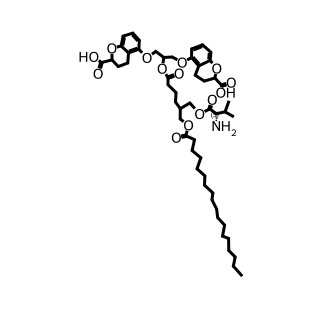 CCCCCCCCCCCCCCCCCC(=O)OCC(CCCC(=O)OC(COc1cccc2c1CCC(C(=O)O)O2)COc1cccc2c1CCC(C(=O)O)O2)COC(=O)[C@@H](N)C(C)C